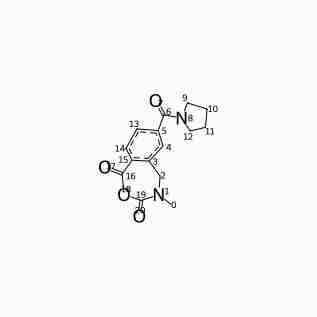 CN1Cc2cc(C(=O)N3CCCC3)ccc2C(=O)OC1=O